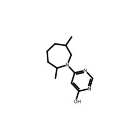 CC1CCCC(C)N(c2cc(O)ncn2)C1